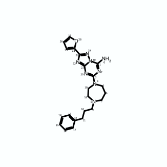 Nc1nc(N2CCCN(CCCc3ccccc3)CC2)nc2nc(-c3ccco3)nn12